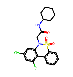 O=C(CN1c2cc(Cl)cc(Cl)c2-c2ccccc2S1(=O)=O)NC1CCCCC1